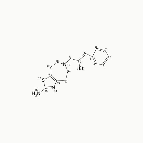 CC/C(=C\c1ccccc1)CN1CCc2nc(N)sc2CC1